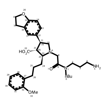 CCCCN(CCCN)C(=O)CN1C[C@H](c2ccc3c(c2)CCO3)[C@@H](C(=O)O)[C@@H]1CCCc1ccccc1OC